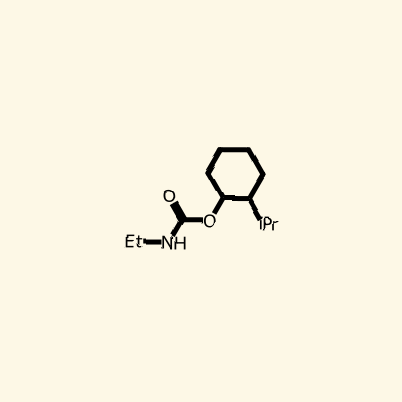 CCNC(=O)OC1CCCCC1C(C)C